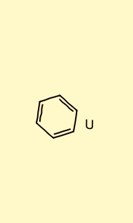 [U].c1ccccc1